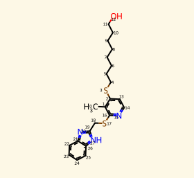 Cc1c(SCCCCCCCCO)ccnc1SCc1nc2ccccc2[nH]1